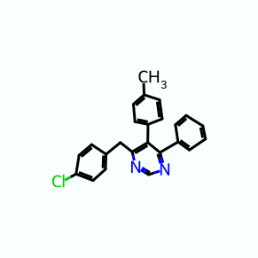 Cc1ccc(-c2c(Cc3ccc(Cl)cc3)ncnc2-c2ccccc2)cc1